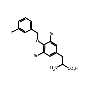 NC(Cc1cc(Br)c(OCc2cccc(I)c2)c(Br)c1)C(=O)O